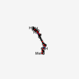 CNC(=O)c1ccc(C(=O)N/N=C/c2cccc(OCCCCCCCCCOc3cccc(/C=N/NC(=O)c4ccc(C(=O)NO)cc4)c3)c2)cc1